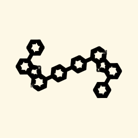 c1ccc(-c2cccc3c2oc2c(-c4ccc(-c5ccc(-c6ccnc7c6oc6c(-c8ccccc8)cccc67)cc5)cc4)ccnc23)cc1